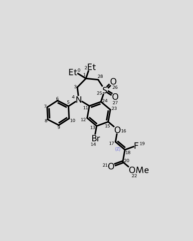 CCC1(CC)CN(c2ccccc2)c2cc(Br)c(O/C=C(\F)C(=O)OC)cc2S(=O)(=O)C1